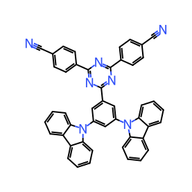 N#Cc1ccc(-c2nc(-c3ccc(C#N)cc3)nc(-c3cc(-n4c5ccccc5c5ccccc54)cc(-n4c5ccccc5c5ccccc54)c3)n2)cc1